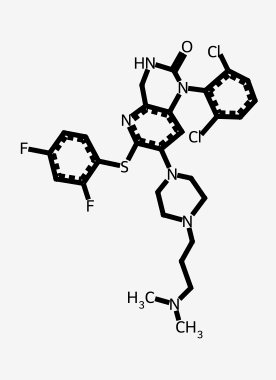 CN(C)CCCN1CCN(c2cc3c(nc2Sc2ccc(F)cc2F)CNC(=O)N3c2c(Cl)cccc2Cl)CC1